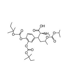 CCC(C)(C)OC(=O)Oc1ccc(C(CC(C)OC(=O)OC(C)C)[C@H](N)C(=O)O)cc1OC(=O)OC(C)(C)CC